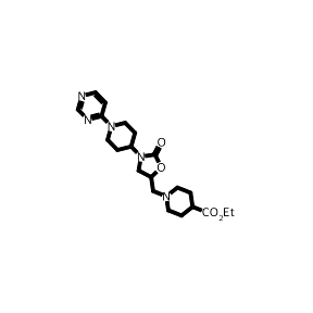 CCOC(=O)C1CCN(CC2CN(C3CCN(c4ccncn4)CC3)C(=O)O2)CC1